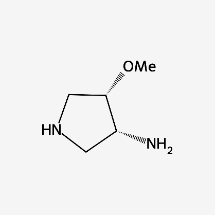 CO[C@H]1CNC[C@H]1N